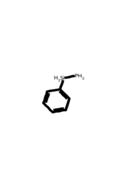 P[SiH2]c1ccccc1